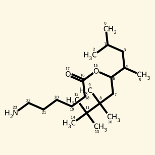 CC(C)CC(C)C(CC(C)(C)C(C)(C)C)OC(=O)CCCCCN